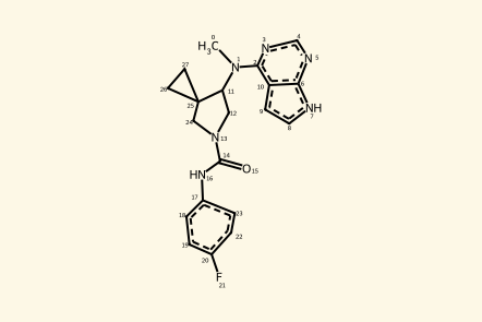 CN(c1ncnc2[nH]ccc12)C1CN(C(=O)Nc2ccc(F)cc2)CC12CC2